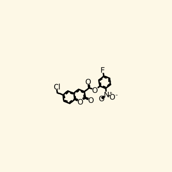 O=C(Oc1cc(F)ccc1[N+](=O)[O-])c1cc2cc(CCl)ccc2oc1=O